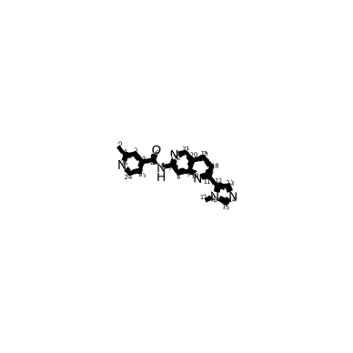 Cc1cc(C(=O)Nc2cc3nc(-c4cncn4C)ccc3cn2)ccn1